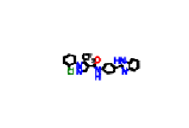 O=C(Nc1ccc(-c2nc3ccccc3[nH]2)cc1)c1cnn(-c2ccccc2Cl)c1C(F)(F)F